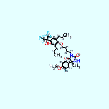 CCCc1cc(C(O)(C(F)(F)F)C(F)(F)F)cc(CCC)c1OCCCCN1C(=O)NC(C)(c2ccc(OC)c(F)c2)C1=O